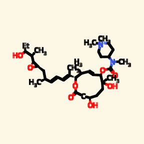 CC[C@H](O)[C@@H](C)[C@H]1O[C@@H]1C[C@H](C)/C=C/C=C(\C)[C@H]1OC(=O)C[C@H](O)CC[C@@](C)(O)[C@@H](OC(=O)N(C)C2CC[N+](C)(C)CC2)/C=C/[C@@H]1C